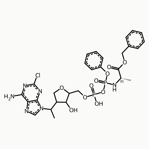 CC(C1COC(COP(=O)(O)OP(=O)(N[C@@H](C)C(=O)OCc2ccccc2)Oc2ccccc2)C1O)n1cnc2c(N)nc(Cl)nc21